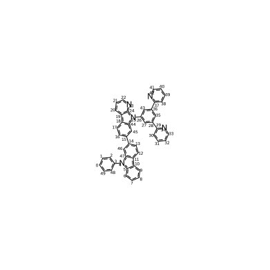 c1ccc(-n2c3ccccc3c3ccc(-c4ccc5c6cccnc6n(-c6cc(-c7ccccn7)cc(-c7ccccn7)c6)c5c4)cc32)cc1